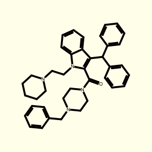 O=C(c1c(C(c2ccccc2)c2ccccc2)c2ccccc2n1CCN1CCCCC1)N1CCN(Cc2ccccc2)CC1